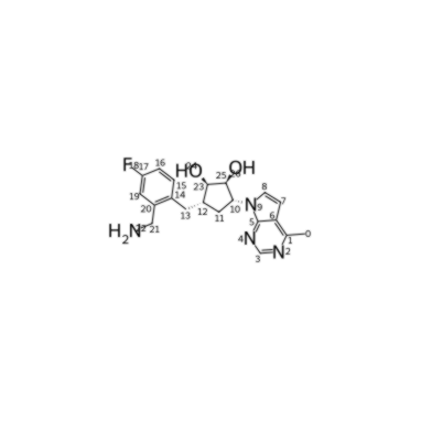 Cc1ncnc2c1ccn2[C@@H]1C[C@H](Cc2ccc(F)cc2CN)[C@@H](O)[C@H]1O